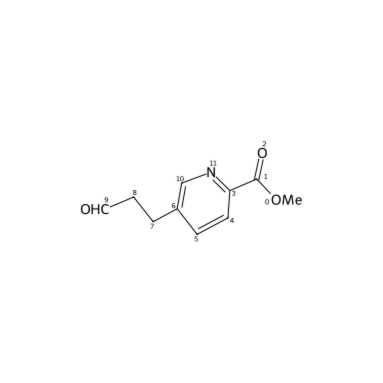 COC(=O)c1ccc(CCC=O)cn1